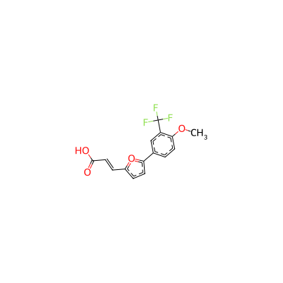 COc1ccc(-c2ccc(C=CC(=O)O)o2)cc1C(F)(F)F